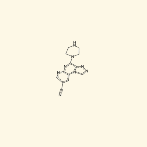 N#Cc1cnc2nc(N3CCNCC3)c3nncn3c2c1